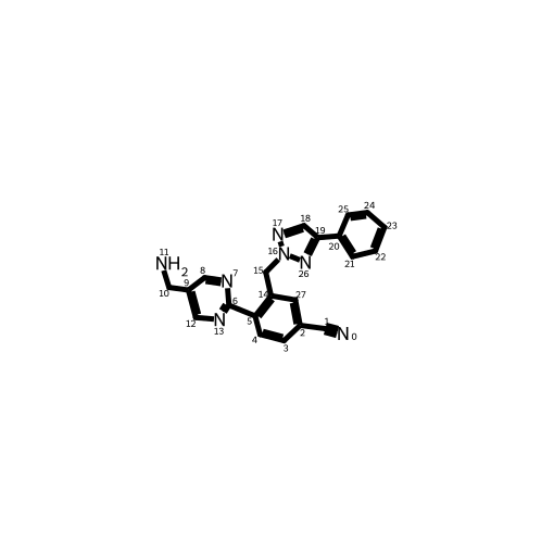 N#Cc1ccc(-c2ncc(CN)cn2)c(Cn2ncc(-c3ccccc3)n2)c1